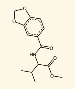 COC(=O)C(NC(=O)c1ccc2c(c1)OCO2)C(C)C